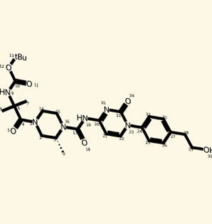 C[C@@H]1CN(C(=O)C(C)(C)NC(=O)OC(C)(C)C)CCN1C(=O)Nc1ccn(-c2ccc(CCO)cc2)c(=O)n1